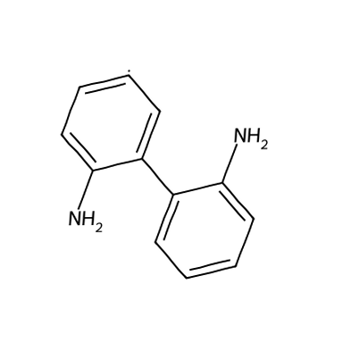 Nc1cc[c]cc1-c1ccccc1N